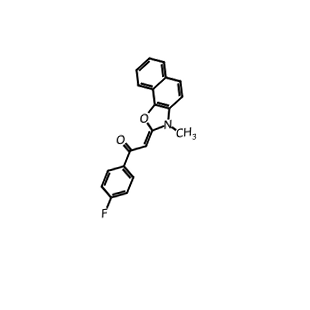 CN1C(=CC(=O)c2ccc(F)cc2)Oc2c1ccc1ccccc21